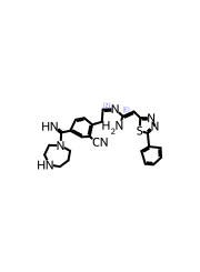 N#Cc1cc(C(=N)N2CCCNCC2)ccc1C/C=N\C(N)=C\c1nnc(-c2ccccc2)s1